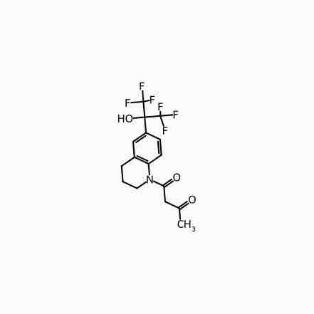 CC(=O)CC(=O)N1CCCc2cc(C(O)(C(F)(F)F)C(F)(F)F)ccc21